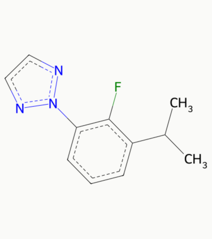 CC(C)c1cccc(-n2nccn2)c1F